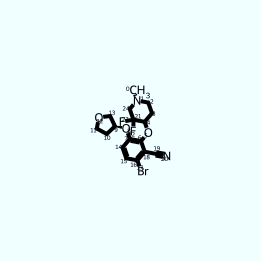 CN1CCC(Oc2c(O[C@H]3CCOC3)ccc(Br)c2C#N)C(F)(F)C1